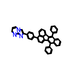 c1ccc(-c2c3c(c(-c4ccccc4)c4ccccc24)-c2ccc(-c4ccc(-c5cn6cccnc6n5)cc4)c4cccc-3c24)cc1